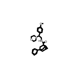 COc1ccc(C(CNC(=O)C23CC4CC2CC(c2ccccc2)(C4)C3)N2CCOCC2)cc1